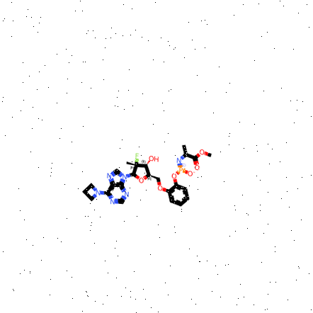 COC(=O)C(C)/N=[P+](\[O-])Oc1ccccc1OC[C@H]1OC(n2cnc3c(N4CCC4)ncnc32)[C@](C)(F)[C@@H]1O